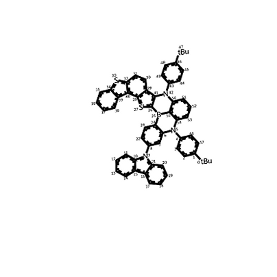 CC(C)(C)c1ccc(N2c3cc(-n4c5ccccc5c5ccccc54)ccc3B3c4sc5c(ccc6sc7ccccc7c65)c4N(c4ccc(C(C)(C)C)cc4)c4cccc2c43)cc1